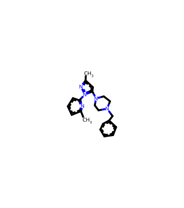 Cc1cccc(-n2nc(C)cc2N2CCN(Cc3ccccc3)CC2)n1